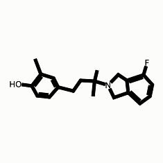 Cc1cc(CCC(C)(C)N2Cc3cccc(F)c3C2)ccc1O